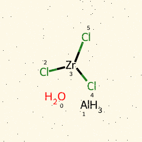 O.[AlH3].[Cl][Zr]([Cl])[Cl]